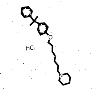 CC(C)(c1ccccc1)c1ccc(OCCCCCCCN2CCCCC2)cc1.Cl